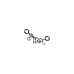 NC(CCc1ccccc1)CN[C@H]1CN(c2ccccc2)C1=O